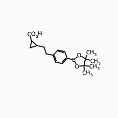 CC1(C)OB(c2ccc(CCC3CC3C(=O)O)cc2)OC1(C)C